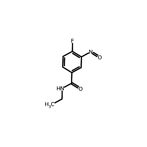 CCNC(=O)c1ccc(F)c(N=O)c1